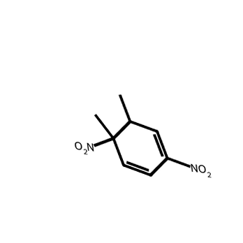 CC1C=C([N+](=O)[O-])C=CC1(C)[N+](=O)[O-]